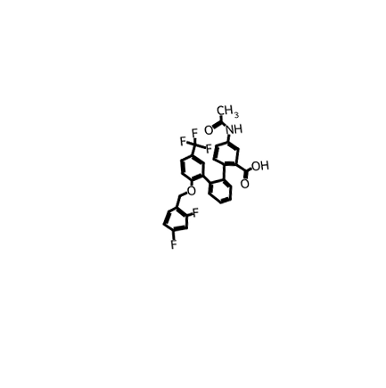 CC(=O)Nc1ccc(-c2ccccc2-c2cc(C(F)(F)F)ccc2OCc2ccc(F)cc2F)c(C(=O)O)c1